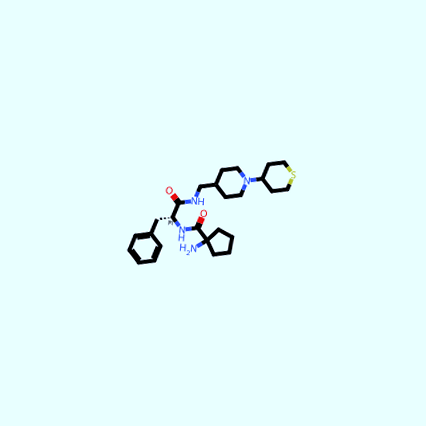 NC1(C(=O)N[C@H](Cc2ccccc2)C(=O)NCC2CCN(C3CCSCC3)CC2)CCCC1